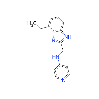 CCc1cccc2[nH]c(CNc3ccncc3)nc12